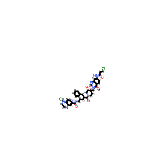 O=C(CCCl)Nc1ccc2c(=O)n(CC3(O)CCN(C(=O)C(CCCNC(=O)c4ccc5c(c4)N=CCN5Cl)Cc4ccccc4)CC3)cnc2c1